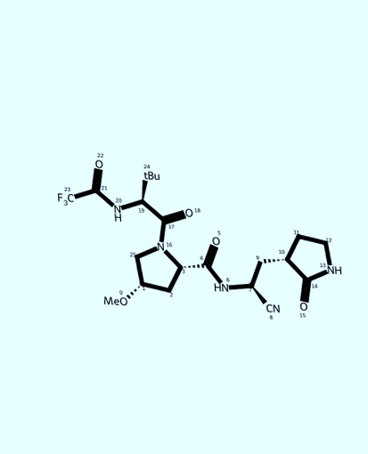 CO[C@H]1C[C@@H](C(=O)N[C@H](C#N)C[C@@H]2CCNC2=O)N(C(=O)[C@@H](NC(=O)C(F)(F)F)C(C)(C)C)C1